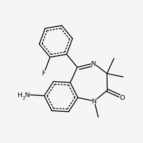 CN1C(=O)C(C)(C)N=C(c2ccccc2F)c2cc(N)ccc21